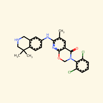 Cc1cc2c(nc1Nc1ccc3c(c1)CNCC3(C)C)OCN(c1c(Cl)cccc1Cl)C2=O